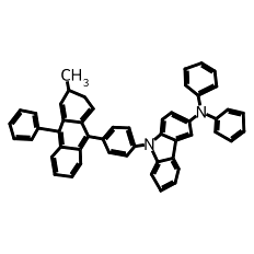 CC1C=c2c(-c3ccccc3)c3ccccc3c(-c3ccc(-n4c5ccccc5c5cc(N(c6ccccc6)c6ccccc6)ccc54)cc3)c2=CC1